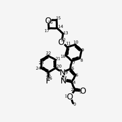 COC(=O)c1cc(-c2cccc(OCC3COC3)c2)n(-c2ccccc2F)n1